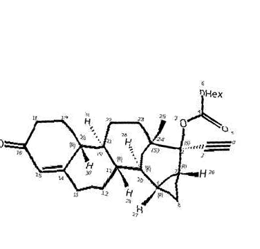 C#C[C@]1(OC(=O)CCCCCC)[C@@H]2C[C@@H]2[C@H]2[C@@H]3CCC4=CC(=O)CC[C@@H]4[C@H]3CC[C@@]21C